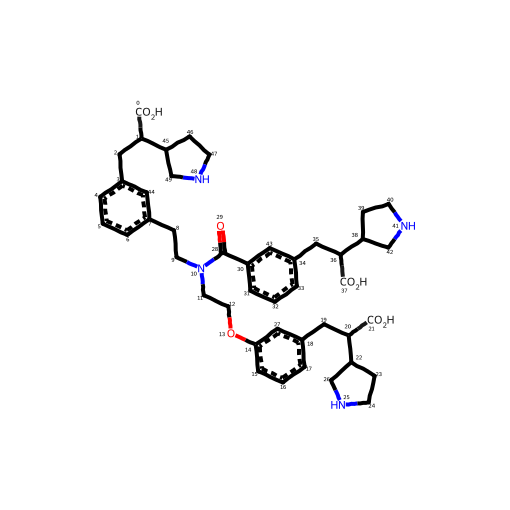 O=C(O)C(Cc1cccc(CCN(CCOc2cccc(CC(C(=O)O)C3CCNC3)c2)C(=O)c2cccc(CC(C(=O)O)C3CCNC3)c2)c1)C1CCNC1